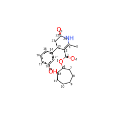 CC1=C(C(=O)OC2CCCCCC2)C(c2cccc(O)c2)CC(=O)N1